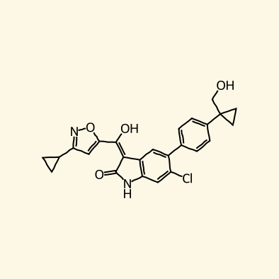 O=C1Nc2cc(Cl)c(-c3ccc(C4(CO)CC4)cc3)cc2C1=C(O)c1cc(C2CC2)no1